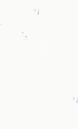 Clc1cncc(OCc2ccc(-c3ccccn3)cc2)n1